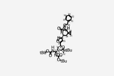 CC(C)(C)OC(=O)/N=C(\NC[C@H](O[Si](C)(C)C(C)(C)C)c1cc([C@@H]2CC3(CC3)[C@H]3CN2C(=O)N3OCc2ccccc2)no1)NC(=O)OC(C)(C)C